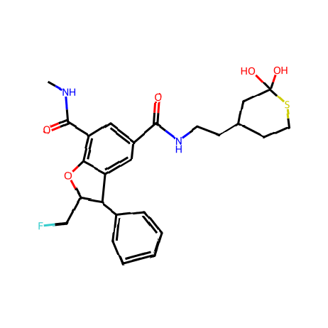 CNC(=O)c1cc(C(=O)NCCC2CCSC(O)(O)C2)cc2c1OC(CF)C2c1ccccc1